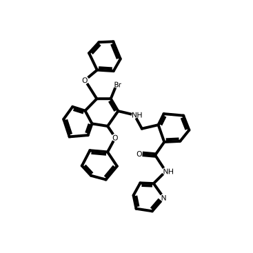 O=C(Nc1ccccn1)c1ccccc1CNC1=C(Br)C(Oc2ccccc2)c2ccccc2C1Oc1ccccc1